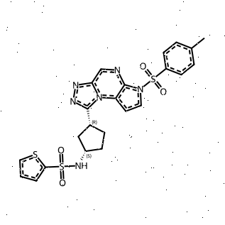 Cc1ccc(S(=O)(=O)n2ccc3c2ncc2nnc([C@@H]4CC[C@H](NS(=O)(=O)c5cccs5)C4)n23)cc1